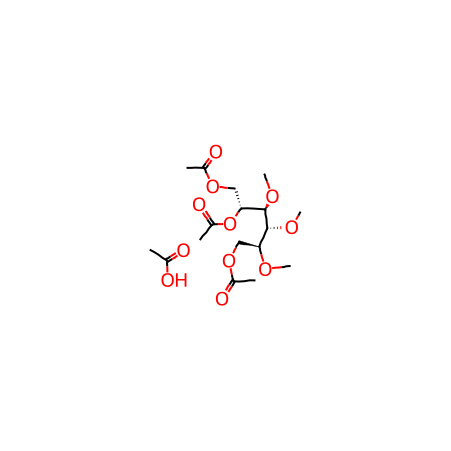 CC(=O)O.CO[C@@H]([C@H](OC)[C@@H](COC(C)=O)OC(C)=O)[C@H](COC(C)=O)OC